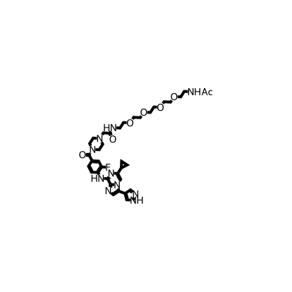 CC(=O)NCCOCCOCCOCCOCCNC(=O)CN1CCN(C(=O)c2ccc(Nc3nc(C4CC4)cn4c(-c5cn[nH]c5)cnc34)c(F)c2)CC1